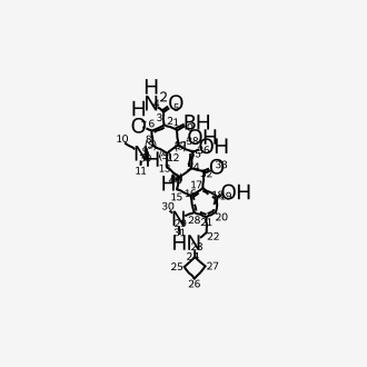 B=C1C(C(N)=O)=C(O)[C@@H](N(C)C)[C@@H]2C[C@@H]3Cc4c(c(O)cc(CNC5CCC5)c4N(C)C)C(=O)C3=C(O)[C@]12O